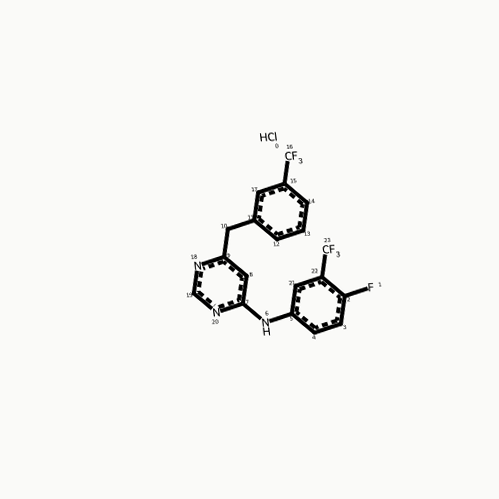 Cl.Fc1ccc(Nc2cc(Cc3cccc(C(F)(F)F)c3)ncn2)cc1C(F)(F)F